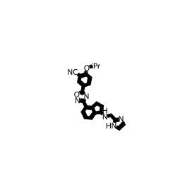 CC(C)Oc1ccc(-c2nc(-c3cccc4c3CCC4NCc3ncc[nH]3)no2)cc1C#N